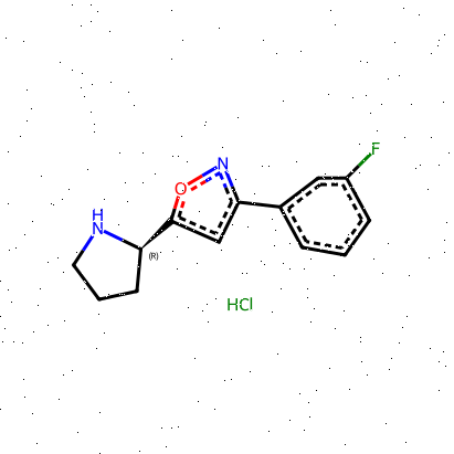 Cl.Fc1cccc(-c2cc([C@H]3CCCN3)on2)c1